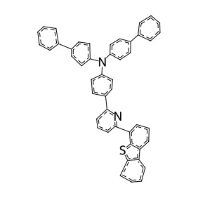 c1ccc(-c2ccc(N(c3ccc(-c4ccccc4)cc3)c3ccc(-c4cccc(-c5cccc6c5sc5ccccc56)n4)cc3)cc2)cc1